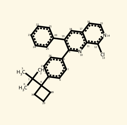 CC(C)(C)C1(c2ccc(-c3nc4c(Cl)nccc4cc3-c3ccccc3)cc2)CCC1